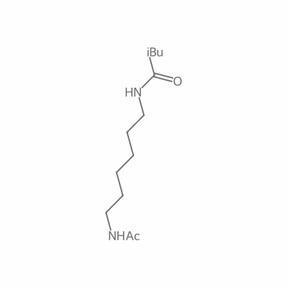 CCC(C)C(=O)NCCCCCCNC(C)=O